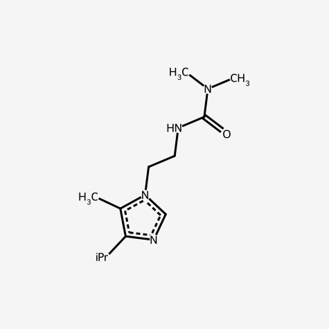 Cc1c(C(C)C)ncn1CCNC(=O)N(C)C